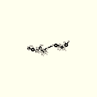 Cc1ncsc1-c1ccc(N(C)NC(=O)[C@@H]2C[C@@H](O)CN2C(=O)C(NC(=O)COCCCCOc2ccc(C(=O)NC3C(C)(C)C(Oc4ccc(C#N)c(Cl)c4)C3(C)C)cc2)C(C)(C)C)cc1